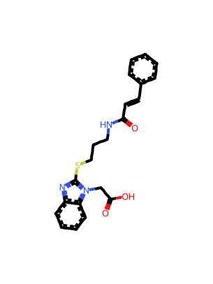 O=C(O)Cn1c(SCCCNC(=O)C=Cc2ccccc2)nc2ccccc21